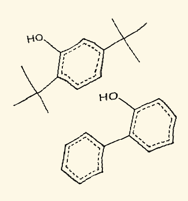 CC(C)(C)c1ccc(C(C)(C)C)c(O)c1.Oc1ccccc1-c1ccccc1